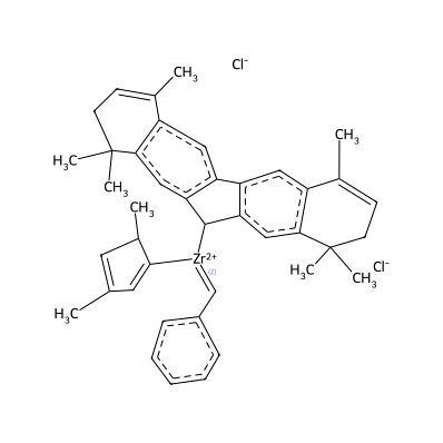 CC1=CC(C)[C](/[Zr+2](=[CH]\c2ccccc2)[CH]2c3cc4c(cc3-c3cc5c(cc32)C(C)(C)CC=C5C)C(C)=CCC4(C)C)=C1.[Cl-].[Cl-]